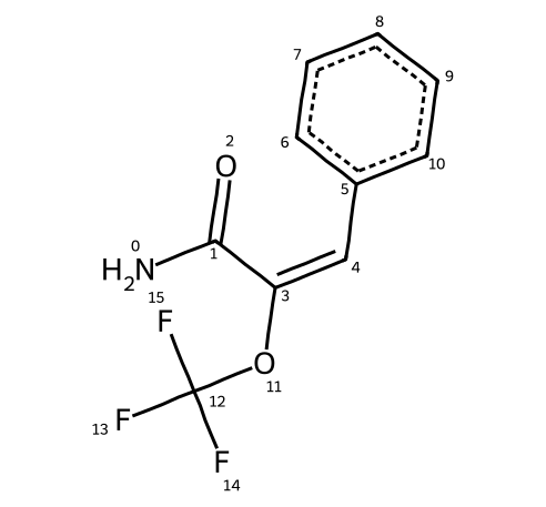 NC(=O)/C(=C\c1ccccc1)OC(F)(F)F